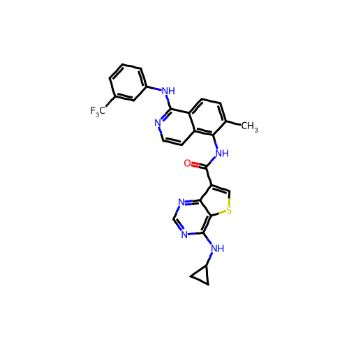 Cc1ccc2c(Nc3cccc(C(F)(F)F)c3)nccc2c1NC(=O)c1csc2c(NC3CC3)ncnc12